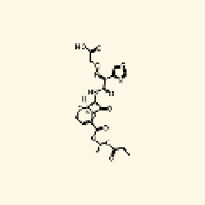 CCC(=O)OC(C)OC(=O)C1=CCS[C@H]2C(NC(=O)C(=NOCC(=O)O)c3cscn3)C(=O)N12